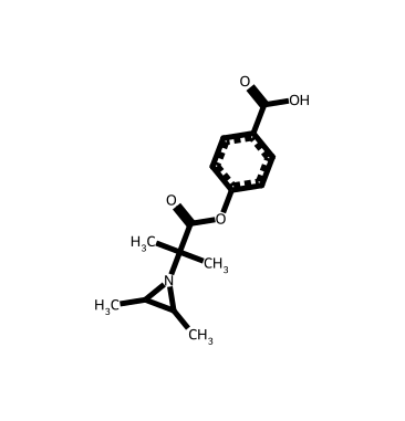 CC1C(C)N1C(C)(C)C(=O)Oc1ccc(C(=O)O)cc1